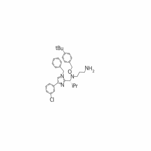 CC(C)[C@H](c1nc(-c2cccc(Cl)c2)cn1Cc1ccccc1)N(CCCN)OCc1ccc(C(C)(C)C)cc1